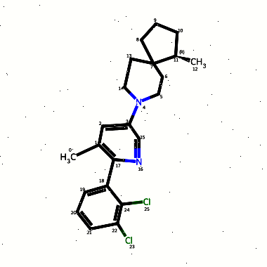 Cc1cc(N2CCC3(CCC[C@H]3C)CC2)cnc1-c1cccc(Cl)c1Cl